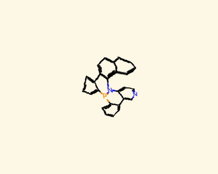 c1ccc2c(c1)-c1cnccc1N1c3c(ccc4ccccc34)-c3ccccc3P21